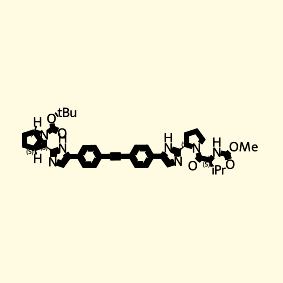 COC(=O)N[C@H](C(=O)N1CCC[C@H]1c1ncc(-c2ccc(C#Cc3ccc(-c4cnc([C@@H]5[C@H]6CC[C@H](C6)N5C(=O)OC(C)(C)C)[nH]4)cc3)cc2)[nH]1)C(C)C